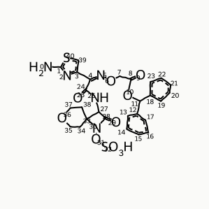 Nc1nc(C(=NOCC(=O)OC(c2ccccc2)c2ccccc2)C(=O)NC2C(=O)N(OS(=O)(=O)O)C23CCOCC3)cs1